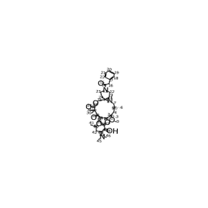 CO[C@]1(C)C[C@@H](C)CN(C)C2(CCN(C(=O)Cc3ccccc3)CC2)COC(=O)C(C)(C)C(=O)[C@H](C)[C@H]1O[C@@H]1O[C@H](C)C[C@H](N(C)C)[C@H]1O